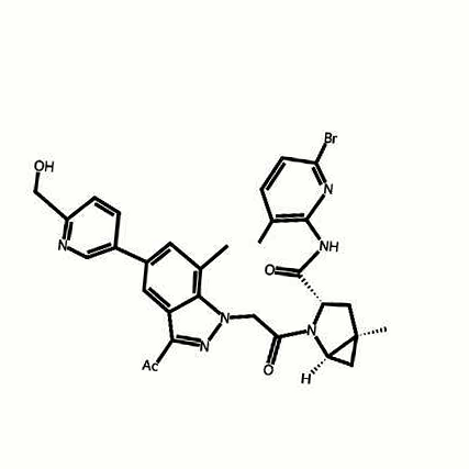 CC(=O)c1nn(CC(=O)N2[C@H](C(=O)Nc3nc(Br)ccc3C)C[C@@]3(C)C[C@@H]23)c2c(C)cc(-c3ccc(CO)nc3)cc12